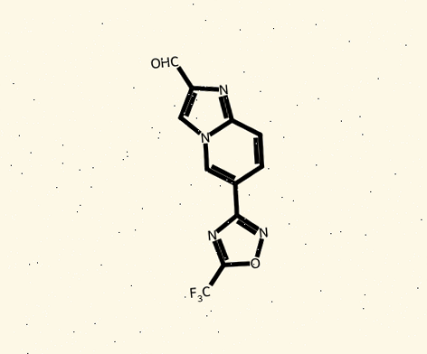 O=Cc1cn2cc(-c3noc(C(F)(F)F)n3)ccc2n1